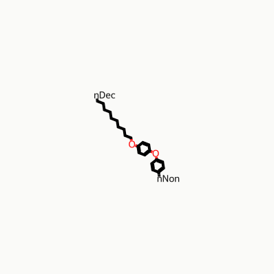 CCCCCCCCCCCCCCCCCCCCOc1ccc(Oc2ccc(CCCCCCCCC)cc2)cc1